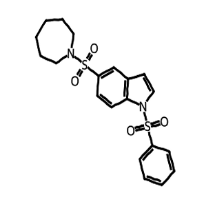 O=S(=O)(c1ccc2c(ccn2S(=O)(=O)c2ccccc2)c1)N1CCCCCC1